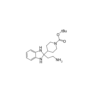 CC(C)(C)OC(=O)N1CCC(C2(CCN)Nc3ccccc3N2)CC1